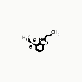 CCCc1nc2c(S(=O)(=O)CC)cccc2o1